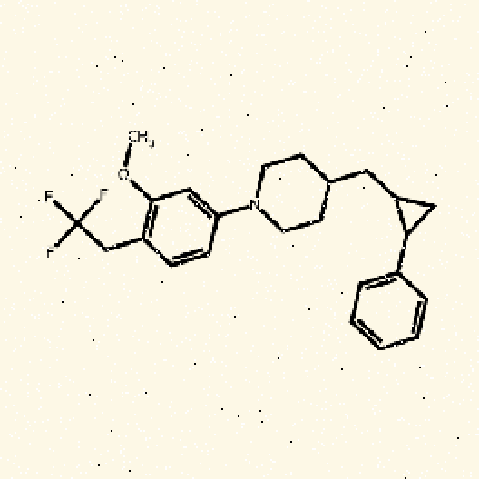 COc1cc(N2CCC(CC3CC3c3ccccc3)CC2)ccc1CC(F)(F)F